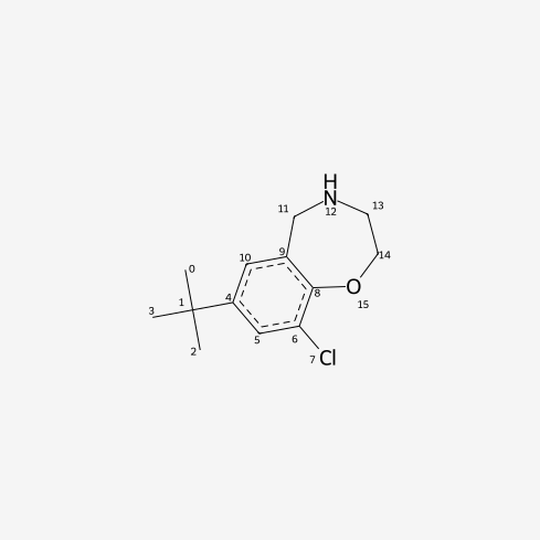 CC(C)(C)c1cc(Cl)c2c(c1)CNCCO2